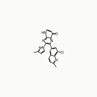 Cc1ccc2cc(-c3nc4c(=O)cc[nH]c4nc3-n3ccc(C)n3)cc(Cl)c2n1